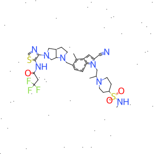 CNS(=O)(=O)C1CCN(C(C)Cn2c(C#N)cc3c(C)c(CN4CCC5CN(c6ncsc6NC(=O)CC(F)(F)F)CC54)ccc32)CC1